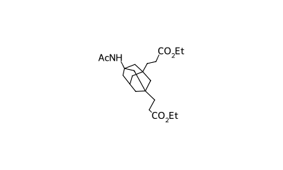 CCOC(=O)CCC12CC3CC(CCC(=O)OCC)(C1)CC(NC(C)=O)(C3)C2